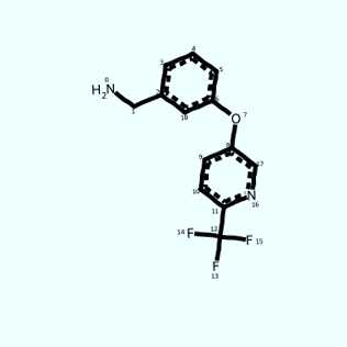 NCc1cccc(Oc2ccc(C(F)(F)F)nc2)c1